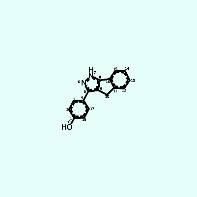 Oc1ccc(-c2n[nH]c3c2Cc2ccccc2-3)cc1